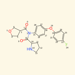 O=C(C1CCOC1)N(C(=O)C1CCCN1)c1ccc(Oc2ccc(F)cc2)cc1